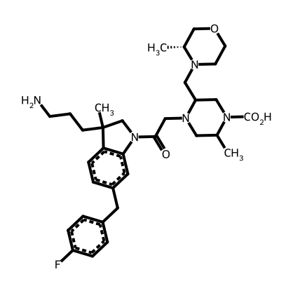 CC1CN(CC(=O)N2CC(C)(CCCN)c3ccc(Cc4ccc(F)cc4)cc32)C(CN2CCOC[C@H]2C)CN1C(=O)O